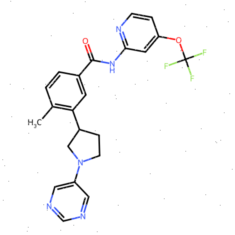 Cc1ccc(C(=O)Nc2cc(OC(F)(F)F)ccn2)cc1C1CCN(c2cncnc2)C1